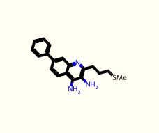 CSCCCc1nc2cc(-c3ccccc3)ccc2c(N)c1N